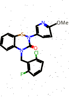 COc1ccc(N2Sc3ccccc3N(Cc3c(F)cccc3Cl)C2=O)cn1